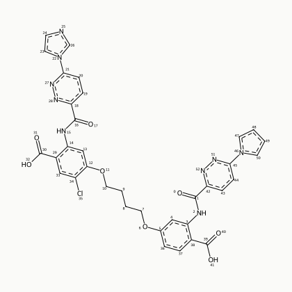 O=C(Nc1cc(OCCCCOc2cc(NC(=O)c3ccc(-n4ccnc4)nn3)c(C(=O)O)cc2Cl)ccc1C(=O)O)c1ccc(-n2cccc2)nn1